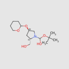 CC(C)(C)OC(O)N1C[C@H](OC2CCCCO2)C[C@H]1CO